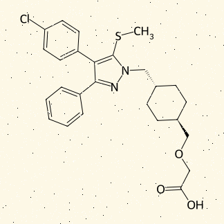 CSc1c(-c2ccc(Cl)cc2)c(-c2ccccc2)nn1C[C@H]1CC[C@H](COCC(=O)O)CC1